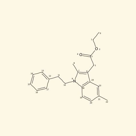 CCOC(=O)Cc1c(C)n(CCc2ccccc2)c2ccc(C)cc12